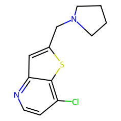 Clc1ccnc2cc(CN3CCCC3)sc12